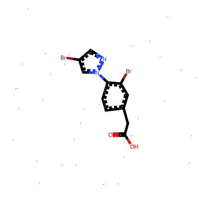 O=C(O)Cc1ccc(-n2cc(Br)cn2)c(Br)c1